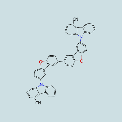 N#Cc1cccc2c1c1ccccc1n2-c1ccc2oc3ccc(-c4ccc5oc6ccc(-n7c8ccccc8c8c(C#N)cccc87)cc6c5c4)cc3c2c1